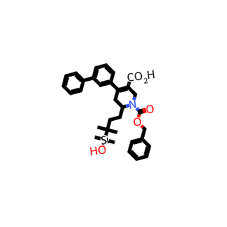 CC(C)(CCC1CC(c2cccc(-c3ccccc3)c2)=C(C(=O)O)CN1C(=O)OCc1ccccc1)[Si](C)(C)O